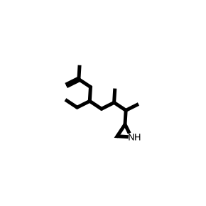 C=C(C)CC(CC)CC(C)C(C)C1CN1